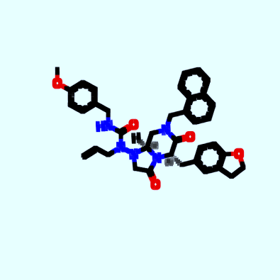 C=CCN(C(=O)NCc1ccc(OC)cc1)N1CC(=O)N2[C@@H](Cc3ccc4c(c3)CCO4)C(=O)N(Cc3cccc4ccccc34)C[C@@H]21